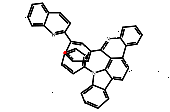 c1ccc(-n2c3ccccc3c3ccc4c5ccccc5nc(-c5cccc(-c6ccc7ccccc7n6)c5)c4c32)cc1